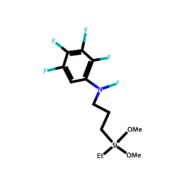 CC[Si](CCCN(F)c1cc(F)c(F)c(F)c1F)(OC)OC